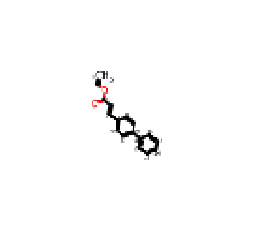 C=COC(=O)C=Cc1ccc(-c2ccccc2)cc1